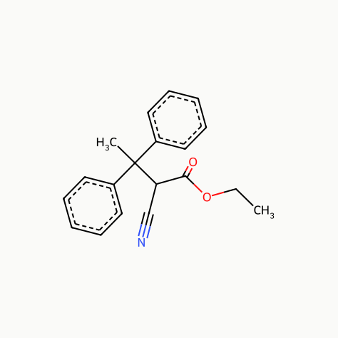 CCOC(=O)C(C#N)C(C)(c1ccccc1)c1ccccc1